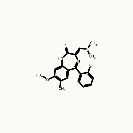 COc1cc2c(cc1C)C(c1ccccc1Cl)=N/C(=C\N(C)C)C(=S)N2